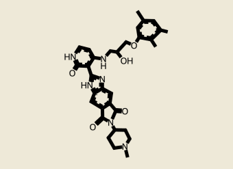 Cc1cc(C)c(C)c(OCC(O)CNc2cc[nH]c(=O)c2-c2nc3cc4c(cc3[nH]2)C(=O)N(C2CCN(C)CC2)C4=O)c1